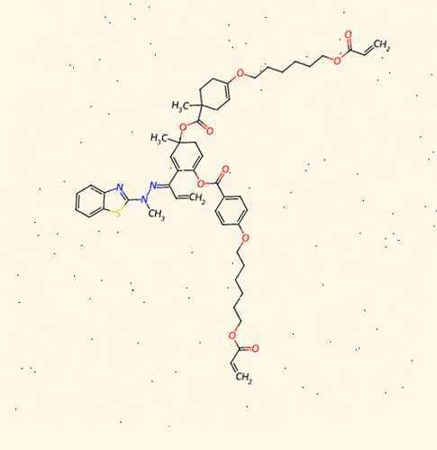 C=CC(=O)OCCCCCCOC1=CCC(C)(C(=O)OC2(C)C=C(/C(C=C)=N/N(C)c3nc4ccccc4s3)C(OC(=O)c3ccc(OCCCCCCOC(=O)C=C)cc3)=CC2)CC1